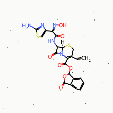 C=CC1=C(C(=O)OC2OC(=O)c3ccccc32)N2C(=O)C(NC(=O)/C(=N\O)c3csc(N)n3)[C@H]2SC1